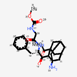 COC(=O)C12CC3CC(CC(N)(C3)C1C(=O)[C@H](Cc1ccccc1)NC(=O)CNC(=O)OC(C)(C)C)C2